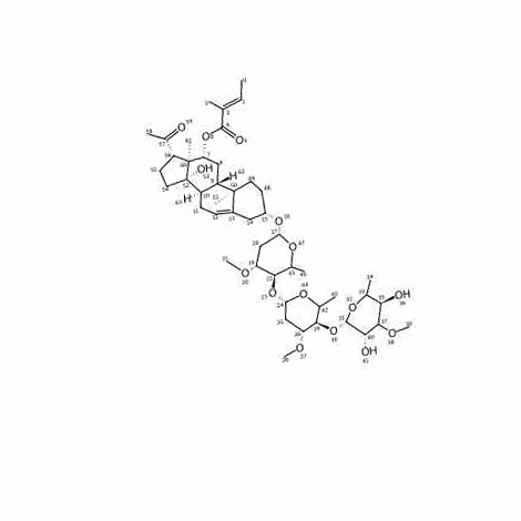 C/C=C(\C)C(=O)O[C@@H]1C[C@H]2[C@@H](CC=C3C[C@@H](O[C@H]4C[C@@H](OC)[C@H](O[C@H]5C[C@@H](OC)[C@H](O[C@@H]6OC(C)[C@@H](O)C(OC)[C@@H]6O)C(C)O5)C(C)O4)CC[C@@]32C)[C@@]2(O)CC[C@H](C(C)=O)[C@@]12C